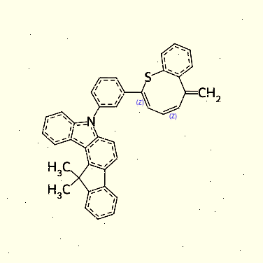 C=C1/C=C\C=C(\c2cccc(-n3c4ccccc4c4c5c(ccc43)-c3ccccc3C5(C)C)c2)Sc2ccccc21